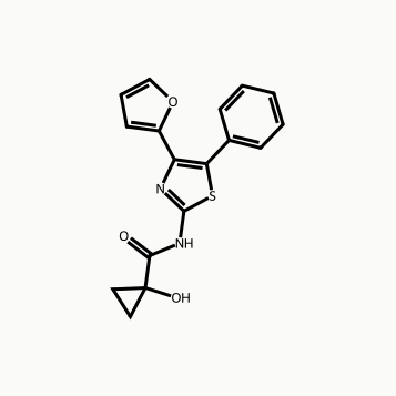 O=C(Nc1nc(-c2ccco2)c(-c2ccccc2)s1)C1(O)CC1